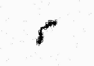 CC(CCCOc1ccc(-c2cc(F)c(C(F)(F)Oc3cc(F)c(F)c(F)c3)c(F)c2)c(F)c1)CCCOc1ccc(-c2cc(F)c(C(F)(F)Oc3cc(F)c(F)c(F)c3)c(F)c2)c(F)c1